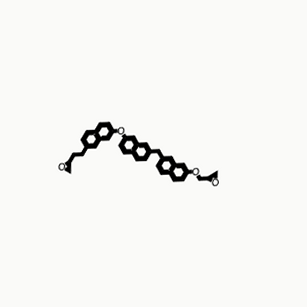 c1cc2ccc(Oc3ccc4ccc(Cc5ccc6ccc(OCC7CO7)cc6c5)cc4c3)cc2cc1CCC1CO1